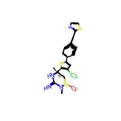 CN1C(=N)N[C@](C)(c2sc(-c3ccc(-c4nccs4)cc3)cc2Cl)C[S+]1[O-]